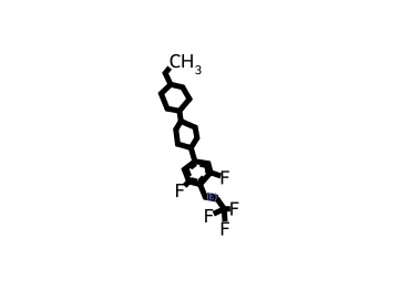 CCC1CCC(C2CCC(c3cc(F)c(/C=C/C(F)(F)F)c(F)c3)CC2)CC1